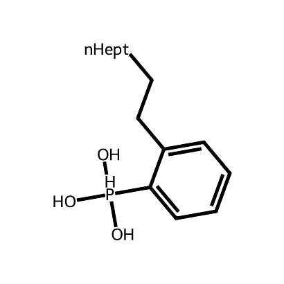 CCCCCCCCCc1ccccc1[PH](O)(O)O